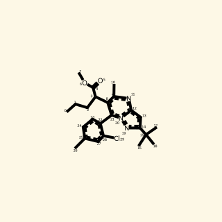 CCCC(C(=O)OC)c1c(C)nc2cc(C(C)(C)C)nn2c1-c1ccc(C)cc1Cl